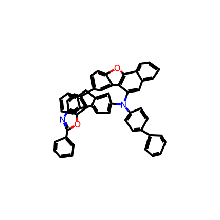 c1ccc(-c2ccc(N(c3ccc4c(c3)Cc3ccccc3-4)c3cc4ccccc4c4oc5ccc(-c6ccc7nc(-c8ccccc8)oc7c6)cc5c34)cc2)cc1